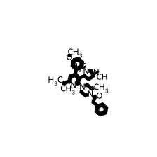 C#N.COc1cccc(-c2cc(C(C)C)nc(N3CCN(C(=O)Cc4ccccc4)C(C)C3)c2C2CCCN2C)c1